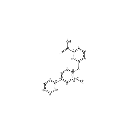 Cl.O=C(O)c1cccc(C[n+]2ccc(-c3ccncc3)cc2)c1.[Cl-]